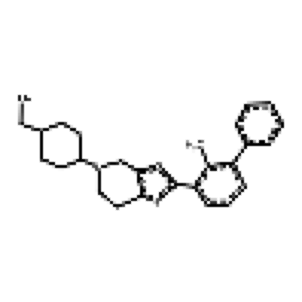 Cc1c(-c2ccccc2)cccc1-c1nc2c(s1)CN(C1CCC(CC#N)CC1)CC2